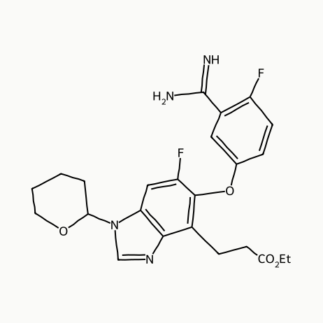 CCOC(=O)CCc1c(Oc2ccc(F)c(C(=N)N)c2)c(F)cc2c1ncn2C1CCCCO1